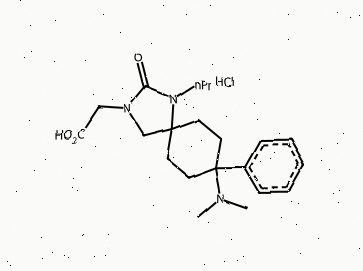 CCCN1C(=O)N(CC(=O)O)CC12CCC(c1ccccc1)(N(C)C)CC2.Cl